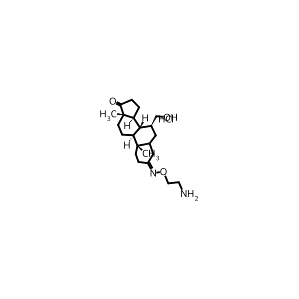 C[C@]12CC/C(=N/OCCN)CC1C[C@H](CO)[C@@H]1[C@@H]2CC[C@]2(C)C(=O)CC[C@@H]12.Cl